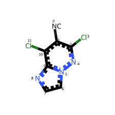 [C-]#[N+]c1c(Cl)nn2ccnc2c1Cl